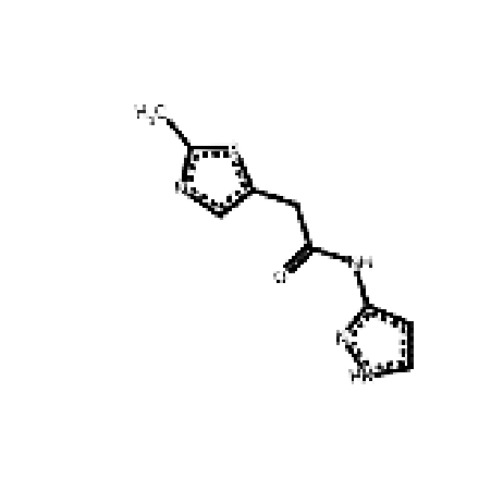 Cc1ncc(CC(=O)Nc2cc[nH]n2)s1